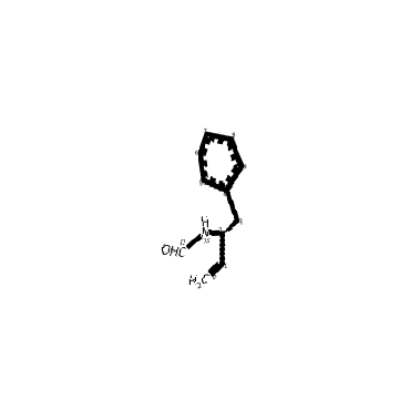 C=C[C@H](Cc1ccccc1)NC=O